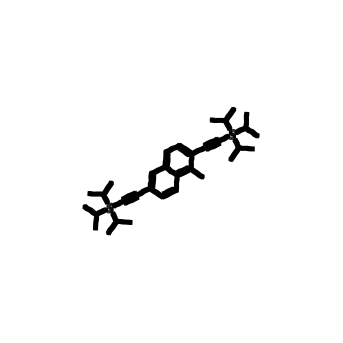 Cc1c(C#CS(C(C)C)(C(C)C)C(C)C)ccc2cc(C#CS(C(C)C)(C(C)C)C(C)C)ccc12